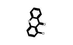 O=c1c2ccccc2sc2cccc(Cl)c12